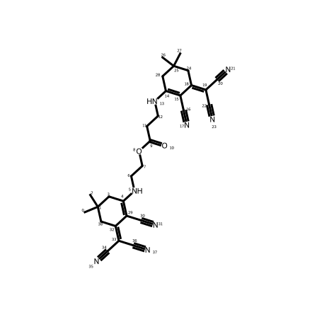 CC1(C)CC(NCCOC(=O)CCNC2=C(C#N)C(=C(C#N)C#N)CC(C)(C)C2)=C(C#N)C(=C(C#N)C#N)C1